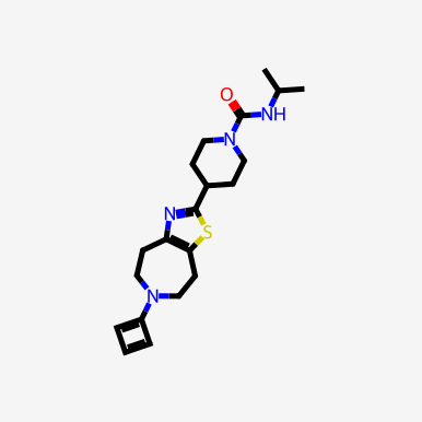 CC(C)NC(=O)N1CCC(c2nc3c(s2)CCN(C2=CC=C2)CC3)CC1